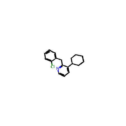 Clc1ccccc1Cc1ncccc1C1CCCCC1